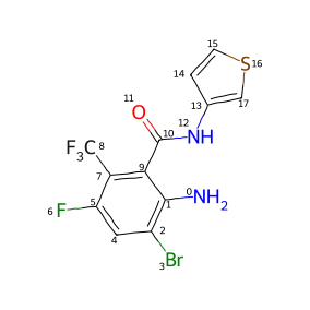 Nc1c(Br)cc(F)c(C(F)(F)F)c1C(=O)Nc1ccsc1